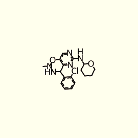 CN1NC(c2ccccc2Cl)c2nc(NC3CCCCO3)ncc2O1